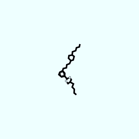 CCCCCC1CCC(CCCCc2cccc(C3OCC(CCCCC)CO3)c2)CC1